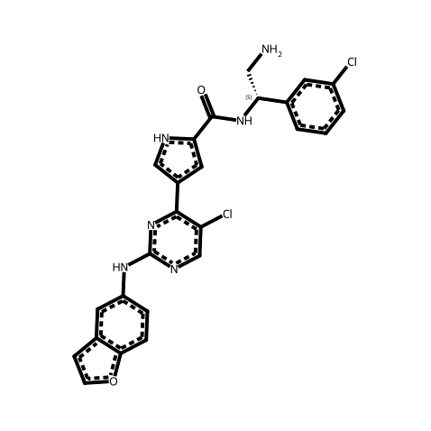 NC[C@@H](NC(=O)c1cc(-c2nc(Nc3ccc4occc4c3)ncc2Cl)c[nH]1)c1cccc(Cl)c1